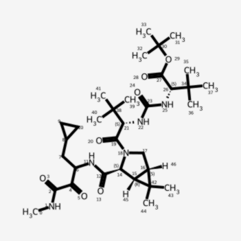 CNC(=O)C(=O)C(CC1CC1)NC(=O)[C@@H]1[C@@H]2[C@H](CN1C(=O)[C@@H](NC(=O)N[C@H](C(=O)OC(C)(C)C)C(C)(C)C)C(C)(C)C)C2(C)C